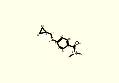 CN(C)C(=O)c1ccc(SCC2CC2)cc1